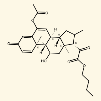 CCCCOC(=O)C(=O)[C@H]1C(C)C[C@H]2[C@@H]3C=C(OC(C)=O)C4=CC(=O)C=C[C@]4(C)[C@H]3C(O)C[C@]12C